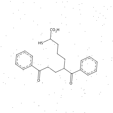 O=C(CCC(CCCC(S)C(=O)O)C(=O)c1ccccc1)c1ccccc1